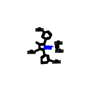 CCCCC1=C(c2cccc(CCCC)c2)[N+](=[N-])C(c2cccc(CCCC)c2)=C1C.CCC[CH2][Ni][CH2]CCC